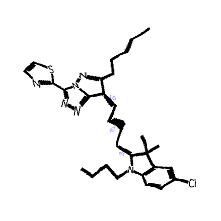 CCCCCc1nn2c(-c3nccs3)nnc2\c1=C/C=C/C=C1/N(CCCC)c2ccc(Cl)cc2C1(C)C